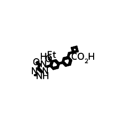 CCOc1cc(-c2cccc(CC3(C(=O)O)CCC3)c2)ccc1-c1nc2[nH]cnc2c(=O)[nH]1